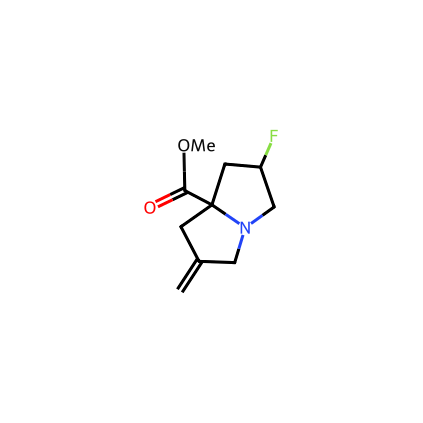 C=C1CN2CC(F)CC2(C(=O)OC)C1